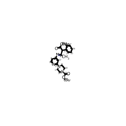 COC(=O)C(/C(C)=N/c1ccnc(N2CCN(C(=O)OC(C)(C)C)CC2)c1)c1ccccc1Br